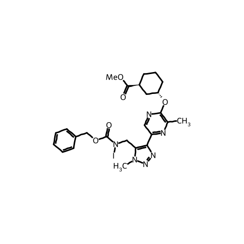 COC(=O)[C@H]1CCC[C@H](Oc2ncc(-c3nnn(C)c3CN(I)C(=O)OCc3ccccc3)nc2C)C1